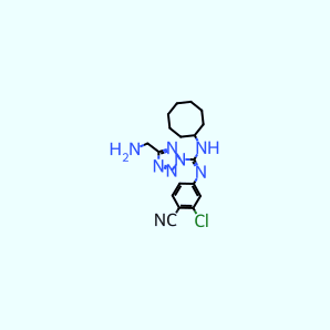 N#Cc1ccc(N=C(NC2CCCCCCC2)n2nnc(CN)n2)cc1Cl